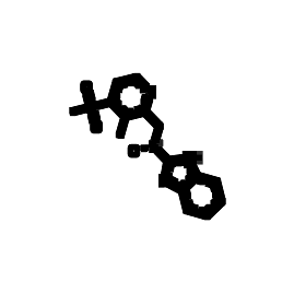 Cc1c(S(C)(=O)=O)ccnc1C[S@@+]([O-])c1nc2ccccc2[nH]1